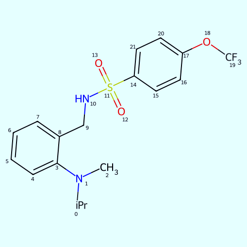 CC(C)N(C)c1ccccc1CNS(=O)(=O)c1ccc(OC(F)(F)F)cc1